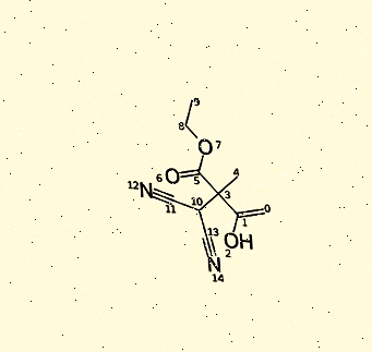 C=C(O)C(C)(C(=O)OCC)C(C#N)C#N